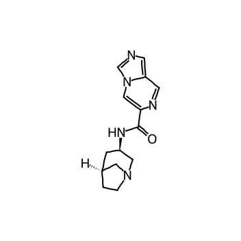 O=C(N[C@@H]1C[C@@H]2CCN(C2)C1)c1cn2cncc2cn1